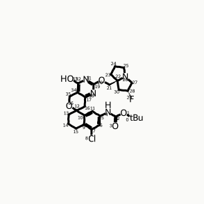 CC(C)(C)OC(=O)Nc1cc(Cl)c2c(c1)C1(CCC2)Cc2nc(OC[C@@]34CCCN3C[C@H](F)C4)nc(O)c2CO1